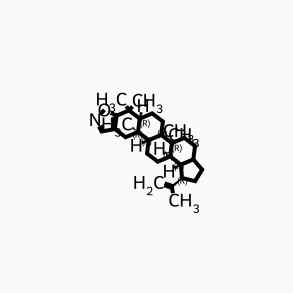 C=C(C)[C@@H]1CCC2CC[C@]3(C)[C@H](CC[C@@H]4[C@@]5(C)Cc6cnoc6C(C)(C)[C@@H]5CC[C@]43C)[C@H]21